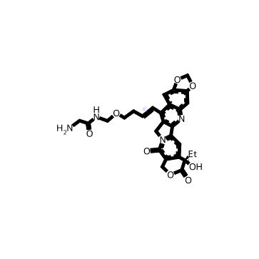 CC[C@@]1(O)C(=O)OCc2c1cc1n(c2=O)Cc2c-1nc1cc3c(cc1c2/C=C/CCOCNC(=O)CN)OCO3